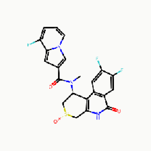 CN(C(=O)c1cc2c(F)cccn2c1)[C@@H]1C[S@@+]([O-])Cc2[nH]c(=O)c3cc(F)c(F)cc3c21